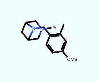 COc1ccc(CN2C3CC2CN(C(C)C)C3)c(C)c1